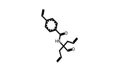 C=CCC(C=O)(CC=C)NC(=O)c1ccc(C=C)cc1